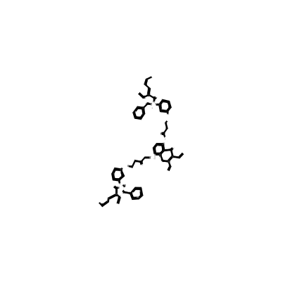 C=CC1=C(C=C)C(=O)c2c(NC(=O)CCOc3cccc(P(=O)(C(=O)/C(C=C)=C/C=C\C)C(=O)c4ccccc4)c3)ccc(NCC(=O)CCOc3cccc(P(=O)(C(=O)/C(C=C)=C/C=C\C)C(=O)c4ccccc4)c3)c2C1=O